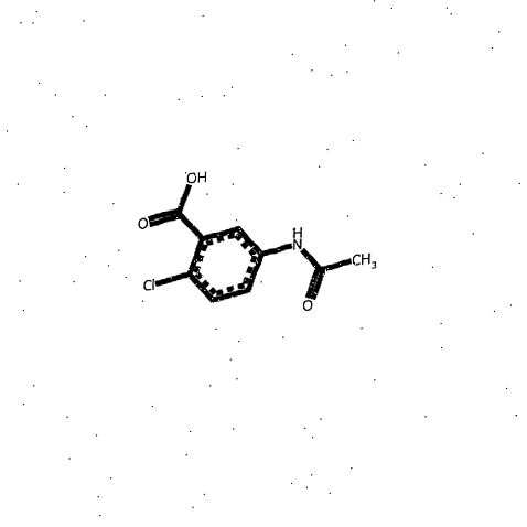 CC(=O)Nc1ccc(Cl)c(C(=O)O)c1